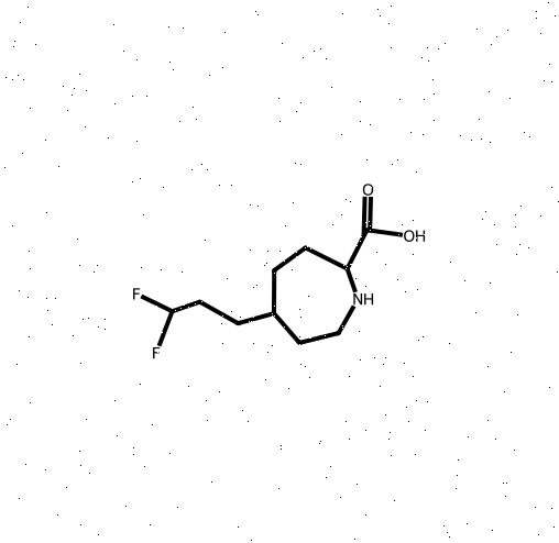 O=C(O)C1CCC(CCC(F)F)CCN1